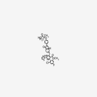 COC(=O)C1=C(CN2CCN3C(=O)N(c4ccc(OC(C)(C)C(=O)O)cc4)C[C@@H]3C2)NC(c2nccs2)=N[C@H]1c1ccc(F)cc1Cl